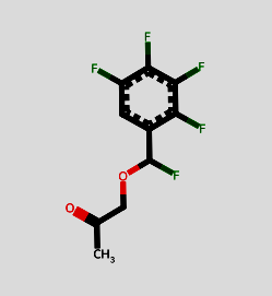 CC(=O)COC(F)c1cc(F)c(F)c(F)c1F